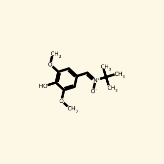 COc1cc(C=[N+]([O-])C(C)(C)C)cc(OC)c1O